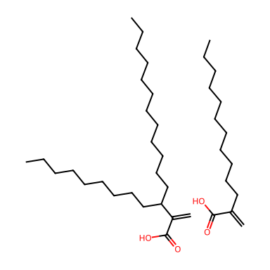 C=C(C(=O)O)C(CCCCCCCCC)CCCCCCCCCCCC.C=C(CCCCCCCCCCC)C(=O)O